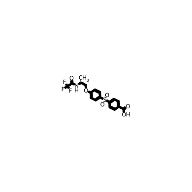 C[C@H](COc1ccc(S(=O)(=O)c2ccc(C(=O)O)cc2)cc1)NC(=O)C(F)(F)F